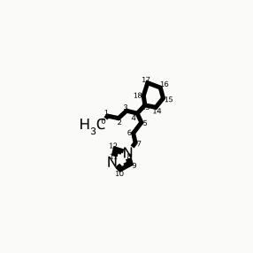 CCCCC(CCCn1ccnc1)C1CCCCC1